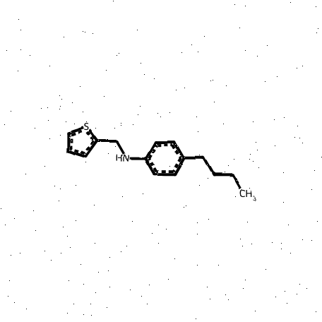 CCCCc1ccc(NCc2cccs2)cc1